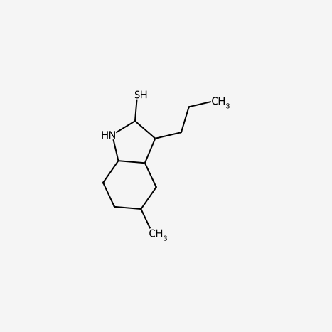 CCCC1C(S)NC2CCC(C)CC21